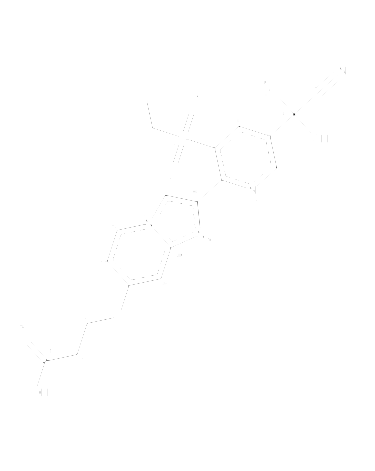 CCS(=O)(=O)c1cc(C(C)(C)C#N)cnc1-c1cn2ccc(SCCC(=O)O)cc2n1